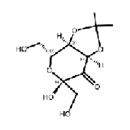 CC1(C)O[C@@H]2[C@@H](CO)O[C@@](O)(CO)C(=O)[C@@H]2O1